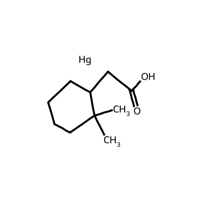 CC1(C)CCCCC1CC(=O)O.[Hg]